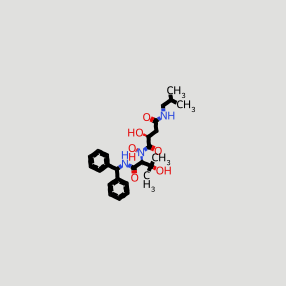 CC(C)CNC(=O)C[C@H](O)C(=O)N(O)[C@H](C(=O)NC(c1ccccc1)c1ccccc1)C(C)(C)O